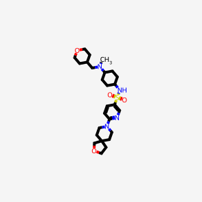 CN(CC1CCOCC1)C1CCC(NS(=O)(=O)c2ccc(N3CCC4(CCOC4)CC3)nc2)CC1